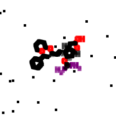 OC1C[C@@H]2[C@@H](/C=C/[C@H](CCc3ccccc3)OC3CCCCO3)[C@H](OB(P)P)C[C@@H]2O1